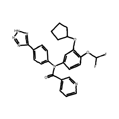 O=C(c1cccnc1)N(c1ccc(-c2nn[nH]n2)cc1)c1ccc(OC(F)F)c(OC2CCCC2)c1